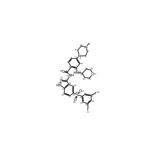 CN1CCN(c2ccc(C(=O)Nc3n[nH]c4ccc(S(=O)(=O)c5cc(F)cc(F)c5)cc34)c(NC3CCOCC3)c2)CC1